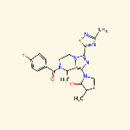 Cc1nsc(-c2nc(N3CCC(C)C3=O)c3n2CCN(C(=O)c2ccc(F)cc2)C3C)n1